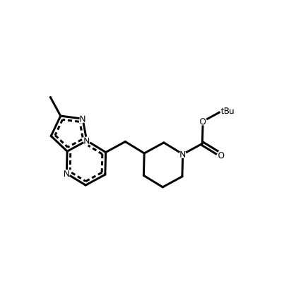 Cc1cc2nccc(CC3CCCN(C(=O)OC(C)(C)C)C3)n2n1